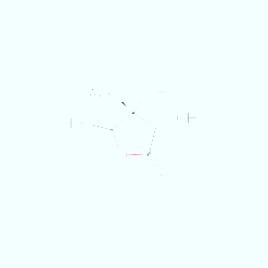 CC(=O)O[C@]1(C)C(C)OC(=O)[C@H]1C